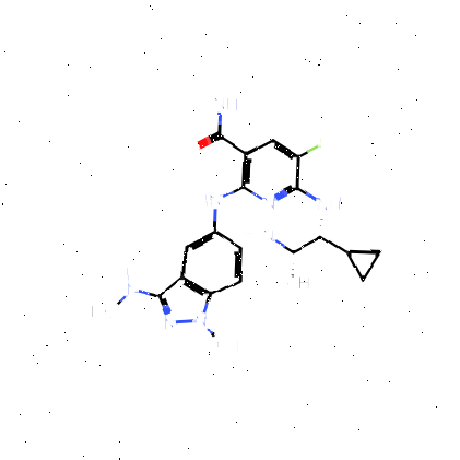 CNc1nn(C)c2ccc(Nc3nc(N[C@H](C4CC4)[C@H](C)N)c(F)cc3C(N)=O)cc12